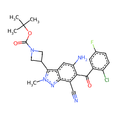 Cn1nc2c(C#N)c(C(=O)c3cc(F)ccc3Cl)c(N)cc2c1C1CN(C(=O)OC(C)(C)C)C1